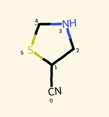 N#CC1CN[CH]S1